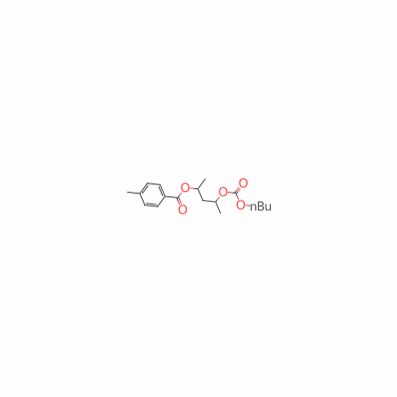 CCCCOC(=O)OC(C)CC(C)OC(=O)c1ccc(C)cc1